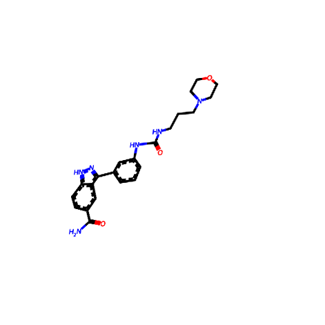 NC(=O)c1ccc2[nH]nc(-c3cccc(NC(=O)NCCCN4CCOCC4)c3)c2c1